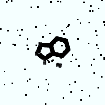 [Ag].c1ccc2[nH]nnc2c1